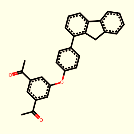 CC(=O)c1cc(Oc2ccc(-c3cccc4c3Cc3ccccc3-4)cc2)cc(C(C)=O)c1